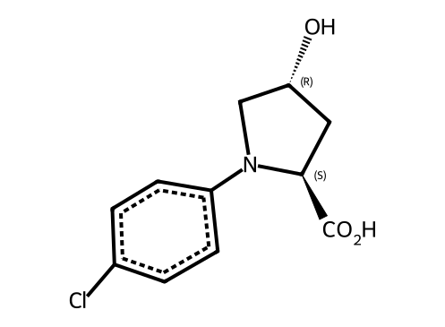 O=C(O)[C@@H]1C[C@@H](O)CN1c1ccc(Cl)cc1